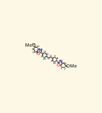 COc1ccc2oc(-c3ccc(/C=C/c4ccc(-c5nc6cc(OC)ccc6o5)cc4)cc3)nc2c1